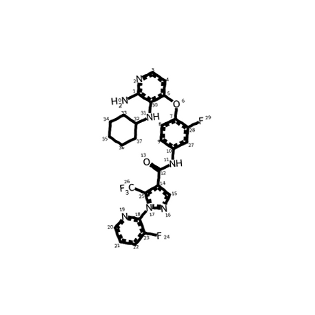 Nc1nccc(Oc2ccc(NC(=O)c3cnn(-c4ncccc4F)c3C(F)(F)F)cc2F)c1NC1CCCCC1